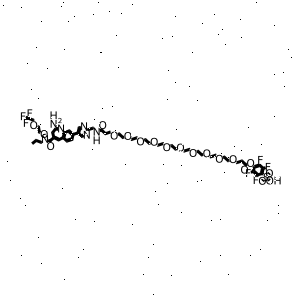 CCCN(OCCOCC(F)(F)F)C(=O)C1=Cc2ccc(-c3cnc(CNC(=O)CCOCCOCCOCCOCCOCCOCCOCCOCCOCCOCCC(=O)Oc4c(F)c(F)c(S(=O)(=O)O)c(F)c4F)nc3)cc2N=C(N)C1